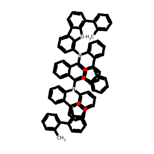 Cc1ccccc1-c1cccc2c1oc1c(N(c3ccccc3-c3ccccc3)c3c4ccccc4c(N(c4ccccc4-c4ccccc4)c4cccc5c4oc4c(-c6ccccc6C)cccc45)c4c3oc3ccccc34)cccc12